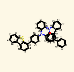 c1ccc(-c2ccc(N(c3ccc(-c4cccc5c4sc4ccccc45)cc3)c3ccccc3-n3c4ccccc4c4ccccc43)cc2)cc1